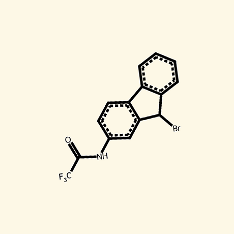 O=C(Nc1ccc2c(c1)C(Br)c1ccccc1-2)C(F)(F)F